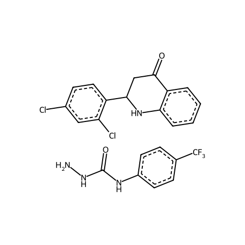 NNC(=O)Nc1ccc(C(F)(F)F)cc1.O=C1CC(c2ccc(Cl)cc2Cl)Nc2ccccc21